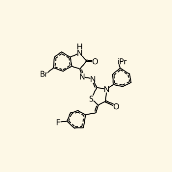 CC(C)c1cccc(N2C(=O)C(=Cc3ccc(F)cc3)SC2=NN=C2C(=O)Nc3ccc(Br)cc32)c1